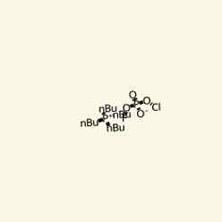 CCCC[P+](CCCC)(CCCC)CCCC.O=P([O-])(OF)OCl